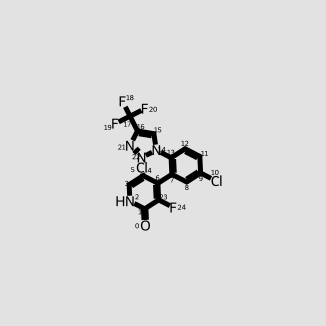 O=c1[nH]cc(Cl)c(-c2cc(Cl)ccc2-n2cc(C(F)(F)F)nn2)c1F